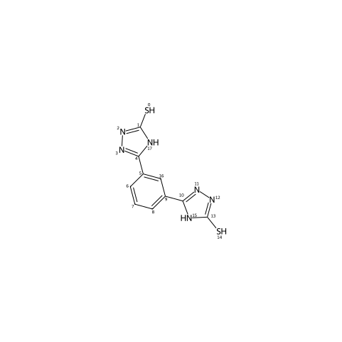 Sc1nnc(-c2cccc(-c3nnc(S)[nH]3)c2)[nH]1